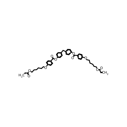 C=CC(=O)OCCCCCCOc1ccc(C(=O)Oc2ccc(Cc3ccc(OC(=O)c4ccc(OCCCCCCOC(=O)C=C)cc4)cc3)cc2)cc1